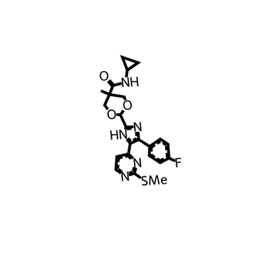 CSc1nccc(-c2[nH]c(C3OCC(C)(C(=O)NC4CC4)CO3)nc2-c2ccc(F)cc2)n1